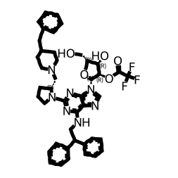 O=C(O[C@@H]1[C@H](O)[C@@H](CO)O[C@H]1n1cnc2c(NCC(c3ccccc3)c3ccccc3)nc(N3CCC[C@@H]3CN3CCC(Cc4ccccc4)CC3)nc21)C(F)(F)F